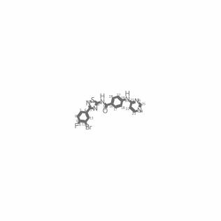 O=C(Nc1nc(-c2ccc(F)c(Br)c2)ns1)c1ccc(Nc2ccncn2)cc1